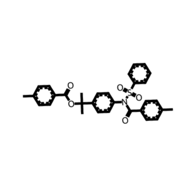 Cc1ccc(C(=O)OC(C)(C)c2ccc(N(C(=O)c3ccc(C)cc3)S(=O)(=O)c3ccccc3)cc2)cc1